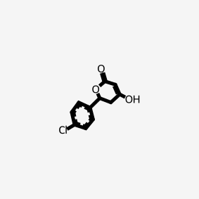 O=C1C=C(O)CC(c2ccc(Cl)cc2)O1